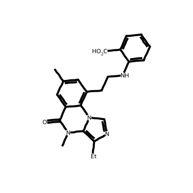 CCc1ncn2c3c(CCNc4ccccc4C(=O)O)cc(C)cc3c(=O)n(C)c12